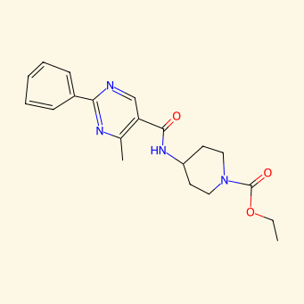 CCOC(=O)N1CCC(NC(=O)c2cnc(-c3ccccc3)nc2C)CC1